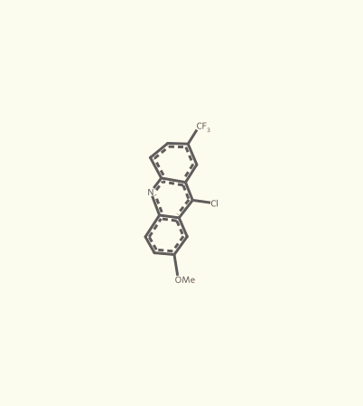 COc1ccc2nc3ccc(C(F)(F)F)cc3c(Cl)c2c1